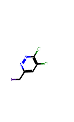 Clc1cc(CI)nnc1Cl